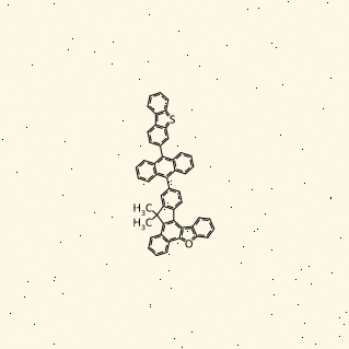 CC1(C)c2cc(-c3c4ccccc4c(-c4ccc5c(c4)sc4ccccc45)c4ccccc34)ccc2-c2c1c1ccccc1c1oc3ccccc3c21